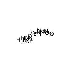 COCCON=C1CN(c2ncc(-c3cccc(COC(=O)NC(=N)N)c3F)cn2)C1